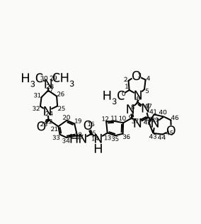 CC1COCCN1c1nc(-c2ccc(NC(=O)Nc3ccc(C(=O)N4CCC(N(C)C)CC4)cc3)cc2)nc(N2C3CCC2COC3)n1